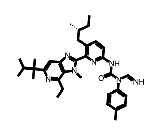 CCc1nc(C(C)(C)C(C)C)cc2nc(-c3nc(NC(=O)N(C=N)c4ccc(C)cc4)ccc3C[C@H](C)CC)n(C)c12